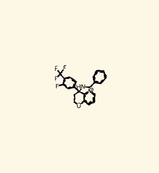 O=C(N[C@]1(c2ccc(C(F)(F)F)c(F)c2)CCOc2cccnc21)c1ccccc1